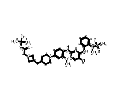 COc1cc(N2CCC(CC3CN(CC(=O)OC(C)(C)C)C3)CC2)ccc1Nc1ncc(Cl)c(Nc2ccccc2N(C)S(C)(=O)=O)n1